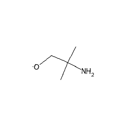 CC(C)(N)C[O]